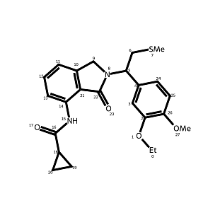 CCOc1cc(C(CSC)N2Cc3cccc(NC(=O)C4CC4)c3C2=O)ccc1OC